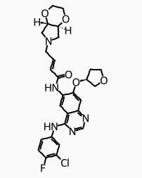 O=C(/C=C/CN1C[C@@H]2OCCO[C@H]2C1)Nc1cc2c(Nc3ccc(F)c(Cl)c3)ncnc2cc1O[C@H]1CCOC1